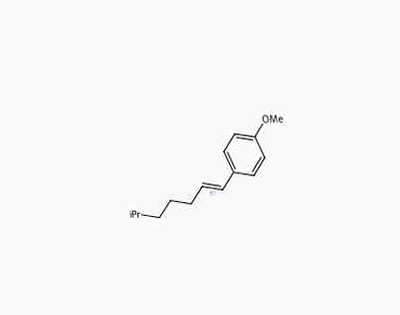 COc1ccc(/C=C/CCCC(C)C)cc1